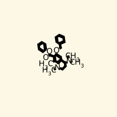 Cc1c(C(=O)Oc2ccccc2)c(OCc2ccccc2)cc2c1N(C)CCC2N(C)C